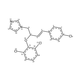 Clc1ccc(/C=C/C(Cn2ccnc2)Oc2c(Cl)cccc2Cl)cc1